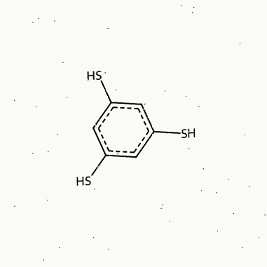 Sc1[c]c(S)cc(S)c1